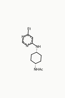 CCc1cc(N[C@H]2CC[C@@H](NC(C)=O)CC2)ncn1